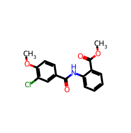 COC(=O)c1ccccc1NC(=O)c1ccc(OC)c(Cl)c1